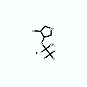 CC(C)(OC1CNCC1O)C(F)(F)F